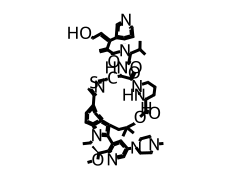 C=C(C(=O)N(C)C(C(=O)N[C@H]1Cc2nc(cs2)-c2ccc3c(c2)c(c(-c2cc(N4CCN(C)CC4)cnc2[C@H](C)OC)n3CC)CC(C)(C)COC(=O)[C@@H]2CCCN(N2)C1=O)C(C)C)/C(=C\CO)c1cccnc1